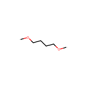 [CH2]OCCCCO[CH2]